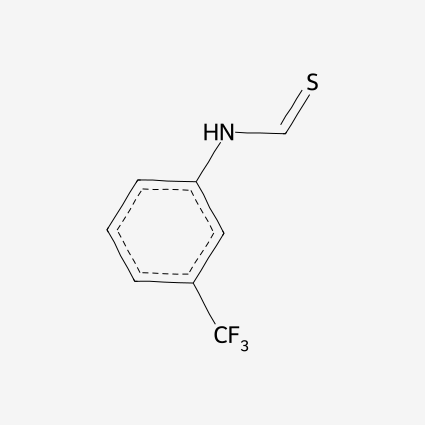 FC(F)(F)c1cccc(NC=S)c1